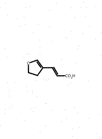 O=C(O)/C=C/C1=COCC1